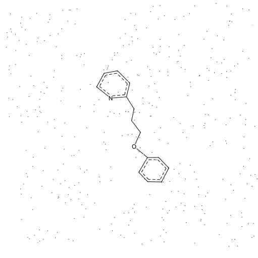 [c]1ccc(OCCCc2ccccn2)cc1